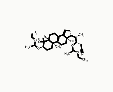 CCOC(C)O[C@@H](CC#N)[C@@H](C)[C@H]1CC=C2C3=C(CC[C@@]21C)[C@@]1(C)CC[C@H](OC(C)OCC)C(C)(C)[C@@H]1CC3